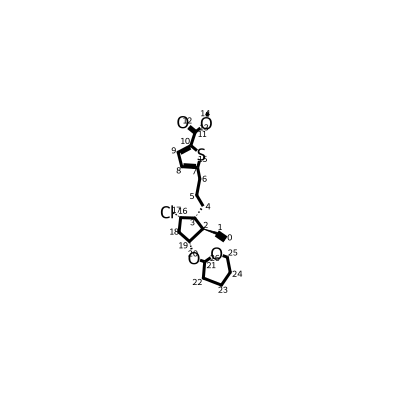 C#C[C@@H]1[C@@H](CCCc2ccc(C(=O)OC)s2)[C@@H](Cl)C[C@H]1OC1CCCCO1